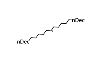 CCCCCCCCCCCCCCC[C]CCCCCCCCCCCCCCC